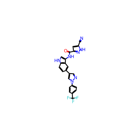 N#Cc1cc(C(=O)Nc2c[nH]c3ccc(-c4cnn(-c5ccc(C(F)(F)F)cc5)c4)cc23)n[nH]1